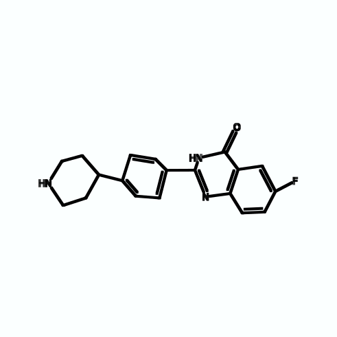 O=c1[nH]c(-c2ccc(C3CCNCC3)cc2)nc2ccc(F)cc12